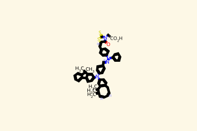 C=C1/C=C\C=C/Cc2ccc(N(c3ccc(/C=N/N(c4ccccc4)c4ccc(/C=C5/SC(=S)N(CC(=O)O)C5=O)cc4)cc3)c3ccc4c(c3)C(C)(C)c3ccccc3-4)cc2C1(C)C